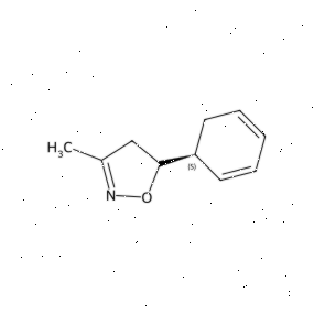 CC1=NOC([C@@H]2C=CC=CC2)C1